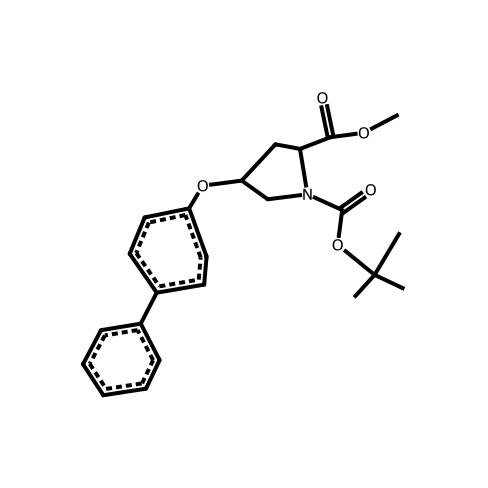 COC(=O)C1CC(Oc2ccc(-c3ccccc3)cc2)CN1C(=O)OC(C)(C)C